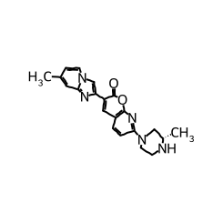 Cc1ccn2cc(-c3cc4ccc(N5CCN[C@@H](C)C5)nc4oc3=O)nc2c1